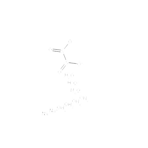 O.O.O.O.O.O.O.O=S([O-])S(=O)[O-].[Na+].[Na+]